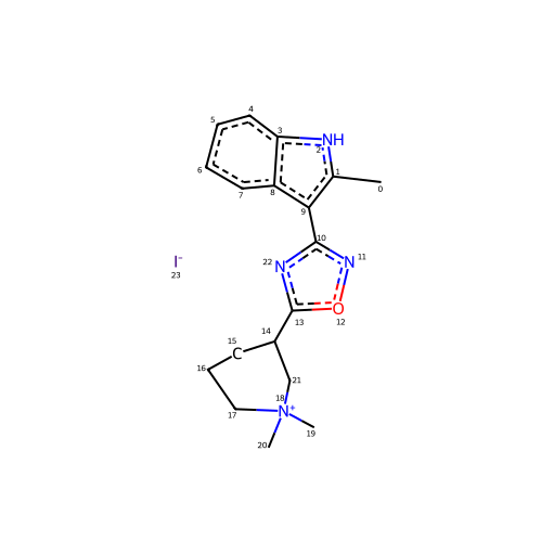 Cc1[nH]c2ccccc2c1-c1noc(C2CCC[N+](C)(C)C2)n1.[I-]